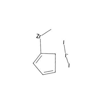 I[I-]I.[CH3][Zr][C]1=CC=CC1